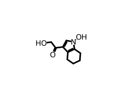 O=C(CO)c1cn(O)c2c1CCCC2